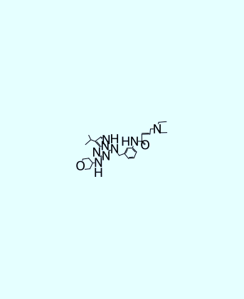 CCN(CC)CC=CC(=O)Nc1cccc(CNc2nc(NC3CCOCC3)nc3c(C(C)C)cnn23)c1